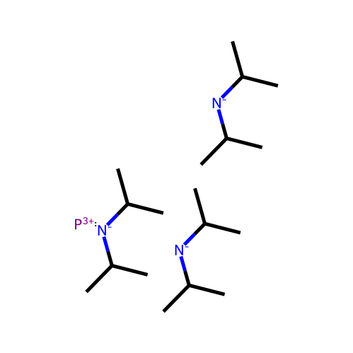 CC(C)[N-]C(C)C.CC(C)[N-]C(C)C.CC(C)[N-]C(C)C.[P+3]